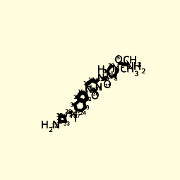 CC(C)(N)C(=O)N1CCN(C(=O)Nc2ccn(-c3ccc4c(c3)CCC(N(I)C[C@H]3C[C@H](N)C3)C4)c(=O)n2)CC1